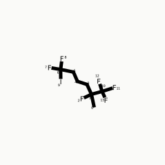 CC(F)(CCCC(F)(F)I)C(F)(F)F